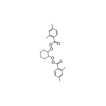 Cc1ccc(C(=O)OO[C]2CCC[CH]C2OOC(=O)c2ccc(C)cc2C)c(C)c1